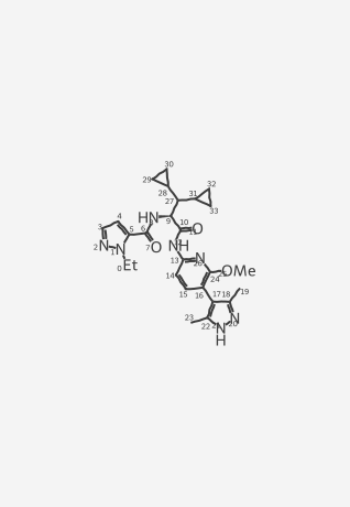 CCn1nccc1C(=O)N[C@H](C(=O)Nc1ccc(-c2c(C)n[nH]c2C)c(OC)n1)C(C1CC1)C1CC1